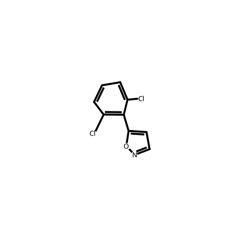 Clc1cccc(Cl)c1-c1ccno1